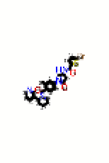 Cc1cc(N2CC(NC(=O)c3ccc(Br)s3)CC2=O)ccc1C(=O)N1CCCCC1c1cccnc1